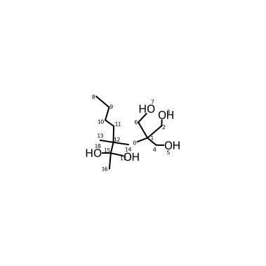 CC(CO)(CO)CO.CCCCC(C)(C)C(C)(O)O